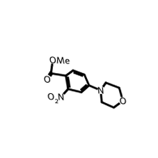 COC(=O)c1ccc(N2CCOCC2)cc1[N+](=O)[O-]